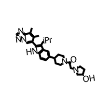 Cc1c(-c2[nH]c3ccc(C4CCN(C(=O)CN5CC[C@H](O)C5)CC4)cc3c2C(C)C)cn2ncnc2c1C